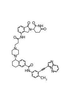 Cc1ccc(NC(=O)c2ccc3c(c2)CCCC3N2CCN(CCC(=O)Nc3cccc4c3CN(C3CCC(=O)NC3=O)C4=O)CC2)cc1C#Cc1cnc2cccnn12